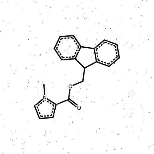 Cn1cccc1C(=O)OCC1c2ccccc2-c2ccccc21